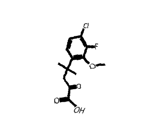 COc1c(C(C)(C)CC(=O)C(=O)O)ccc(Cl)c1F